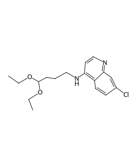 CCOC(CCCNc1ccnc2cc(Cl)ccc12)OCC